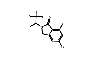 CC(N1Cc2cc(Br)cc(Cl)c2C1=O)C(F)(F)F